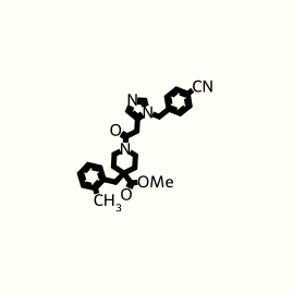 COC(=O)C1(Cc2ccccc2C)CCN(C(=O)Cc2cncn2Cc2ccc(C#N)cc2)CC1